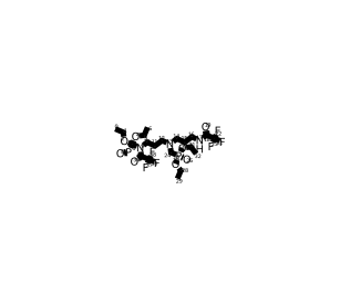 CCOC(OCC)(P=O)N(CCCN(CCCNC(=O)C(F)(F)F)CP(=O)(OCC)OCC)C(=O)C(F)(F)F